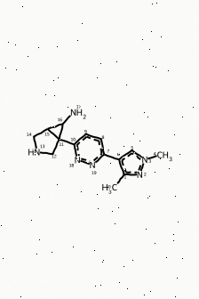 Cc1nn(C)cc1-c1ccc(C23CNCC2C3N)nn1